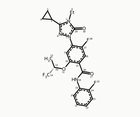 CCn1c(C2CC2)nn(-c2cc(O[C@@H](C)C(F)(F)F)c(C(=O)Nc3ccccc3F)cc2F)c1=O